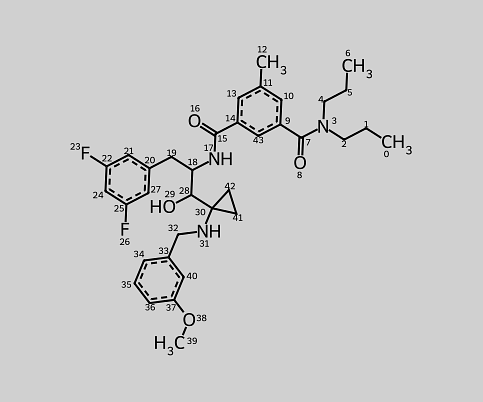 CCCN(CCC)C(=O)c1cc(C)cc(C(=O)NC(Cc2cc(F)cc(F)c2)C(O)C2(NCc3cccc(OC)c3)CC2)c1